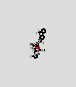 N=C1N[C@H]2C(CN3C(=O)CCC3=O)NC(=N)N3CC(NC(=O)c4ccc(-c5ccccc5C(F)(F)F)cc4)C(O)(O)[C@]23N1